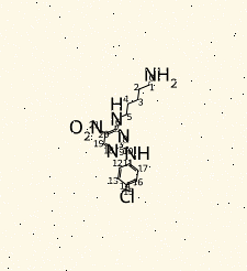 NCCCCCNc1nc(Nc2ccc(Cl)cc2)ncc1[N+](=O)[O-]